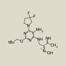 CC(=N)/C(CNc1nc(OCC(C)(C)C)nc(N2CCC(F)(F)C2)c1N)=N\O